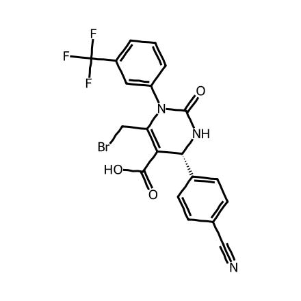 N#Cc1ccc([C@H]2NC(=O)N(c3cccc(C(F)(F)F)c3)C(CBr)=C2C(=O)O)cc1